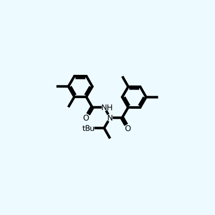 Cc1cc(C)cc(C(=O)N(NC(=O)c2cccc(C)c2C)C(C)C(C)(C)C)c1